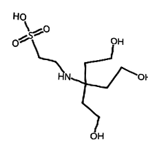 O=S(=O)(O)CCNC(CCO)(CCO)CCO